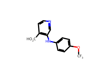 O=C(O)c1ccncc1Nc1ccc(OC(F)(F)F)cc1